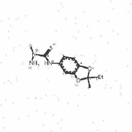 CCC1(C)Oc2ccc(NC(=S)N(C)N)cc2O1